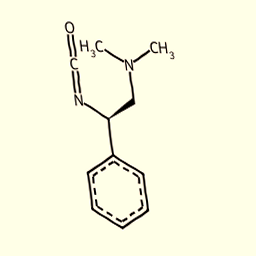 CN(C)C[C@H](N=C=O)c1ccccc1